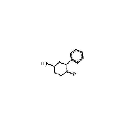 CC(C)N1CCC(N)CC1c1ccccc1